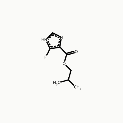 CC(C)COC(=O)c1nc[nH]c1F